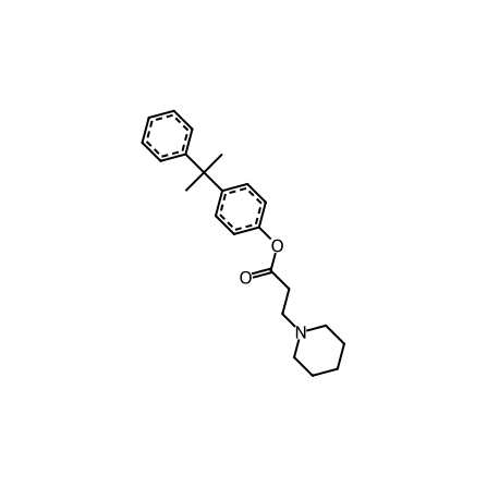 CC(C)(c1ccccc1)c1ccc(OC(=O)CCN2CCCCC2)cc1